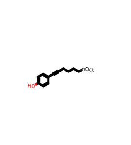 CCCCCCCCCCCCC#Cc1ccc(O)cc1